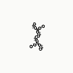 c1ccc(-c2ccc(N(c3ccc4c(c3)sc3ccc5c(ccc6sc7cc(N(c8ccc(-c9ccccc9)cc8)c8ccc9sc%10ccccc%10c9c8)ccc7c65)c34)c3ccc4sc5ccccc5c4c3)cc2)cc1